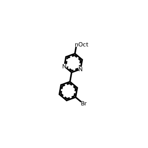 CCCCCCCCc1cnc(-c2cccc(Br)c2)nc1